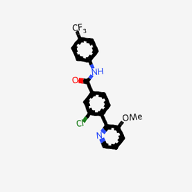 COc1cccnc1-c1ccc(C(=O)Nc2ccc(C(F)(F)F)cc2)cc1Cl